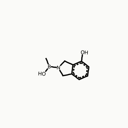 CB(O)N1Cc2cccc(O)c2C1